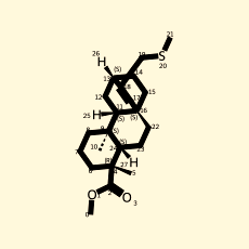 COC(=O)[C@]1(C)CCC[C@@]2(C)[C@@H]3C[C@@H]4CC[C@]3(C=C4CSC)CC[C@@H]21